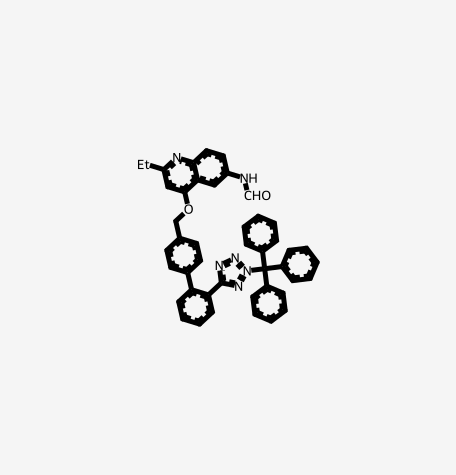 CCc1cc(OCc2ccc(-c3ccccc3-c3nnn(C(c4ccccc4)(c4ccccc4)c4ccccc4)n3)cc2)c2cc(NC=O)ccc2n1